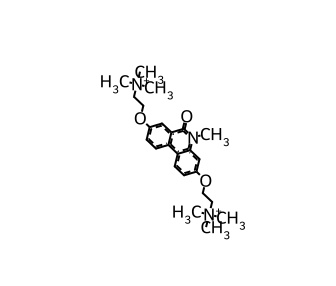 Cn1c(=O)c2cc(OCC[N+](C)(C)C)ccc2c2ccc(OCC[N+](C)(C)C)cc21